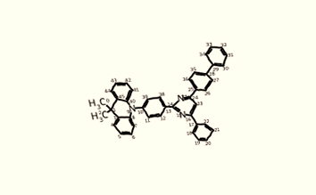 CC1(C)c2ccccc2N(c2ccc(-c3nc(-c4ccccc4)cc(-c4ccc(-c5ccccc5)cc4)n3)cc2)c2ccccc21